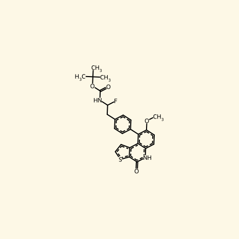 COc1ccc2[nH]c(=O)c3sccc3c2c1-c1ccc(CC(F)NC(=O)OC(C)(C)C)cc1